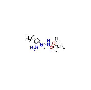 Cc1ccc(N2CCCC(NC(=O)OC(C)(C)C)C2)c(N)c1